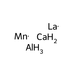 [AlH3].[CaH2].[La].[Mn]